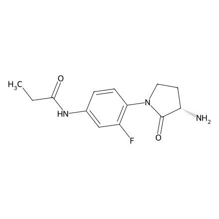 CCC(=O)Nc1ccc(N2CC[C@H](N)C2=O)c(F)c1